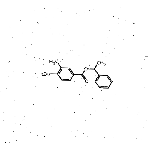 Cc1cc(C(=O)OC(C)c2ccccc2)ccc1C(C)(C)C